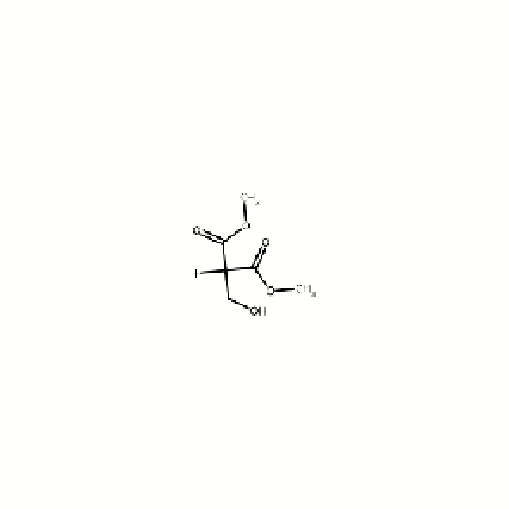 COC(=O)C(F)(CO)C(=O)OC